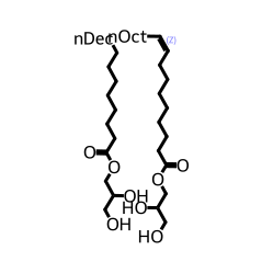 CCCCCCCC/C=C\CCCCCCCC(=O)OCC(O)CO.CCCCCCCCCCCCCCCCCC(=O)OCC(O)CO